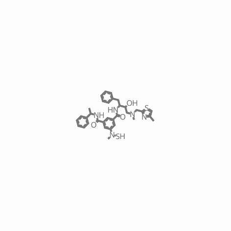 Cc1csc(CN(C)CC(O)C(Cc2ccccc2)NC(=O)c2cc(C(=O)NC(C)c3ccccc3)cc(N(C)S)c2)n1